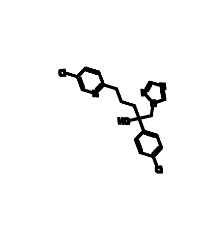 OC(CCCc1ccc(Cl)cn1)(Cn1cncn1)c1ccc(Cl)cc1